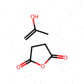 C=C(C)O.O=C1CCC(=O)O1